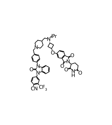 CC(C)N(CC1CCN(Cc2ccc(-n3c(=O)n(-c4ccc(C#N)c(C(F)(F)F)c4)c4ccccc43)cc2)CC1)[C@H]1C[C@H](Oc2ccc3c(c2)C(=O)N(C2CCC(=O)NC2=O)C3=O)C1